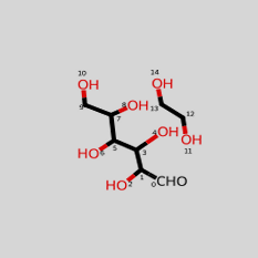 O=CC(O)C(O)C(O)C(O)CO.OCCO